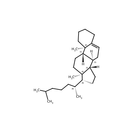 CC(C)CCC[C@@H](C)[C@H]1CC[C@H]2[C@@H]3CC=C4CCCC[C@]4(C)[C@H]3C[CH][C@]12C